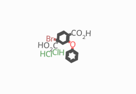 Cl.Cl.O=C(O)C1=C(Oc2ccccc2)CC(Br)(C(=O)O)C=C1